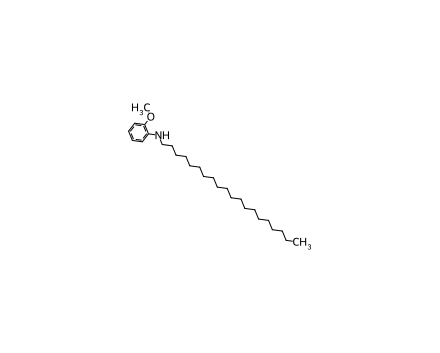 CCCCCCCCCCCCCCCCCCCCNc1ccccc1OC